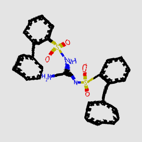 NC(=NS(=O)(=O)c1ccccc1-c1ccccc1)NS(=O)(=O)c1ccccc1-c1ccccc1